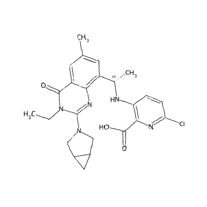 CCn1c(N2CC3CC3C2)nc2c([C@H](C)Nc3ccc(Cl)nc3C(=O)O)cc(C)cc2c1=O